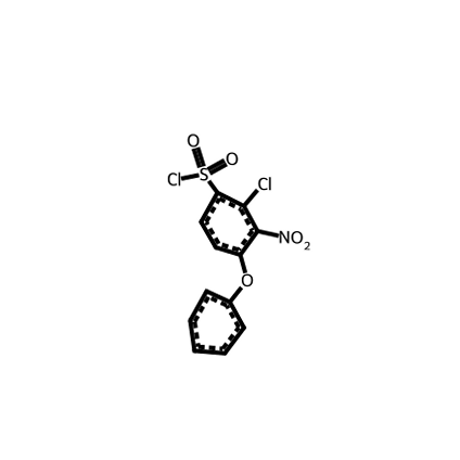 O=[N+]([O-])c1c(Oc2ccccc2)ccc(S(=O)(=O)Cl)c1Cl